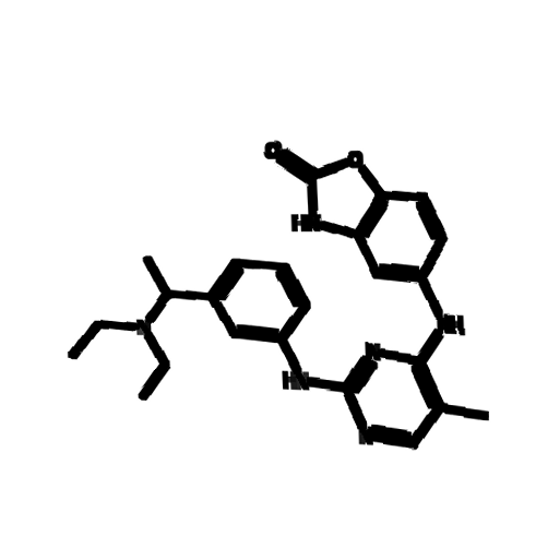 CCN(CC)C(C)c1cccc(Nc2ncc(C)c(Nc3ccc4oc(=O)[nH]c4c3)n2)c1